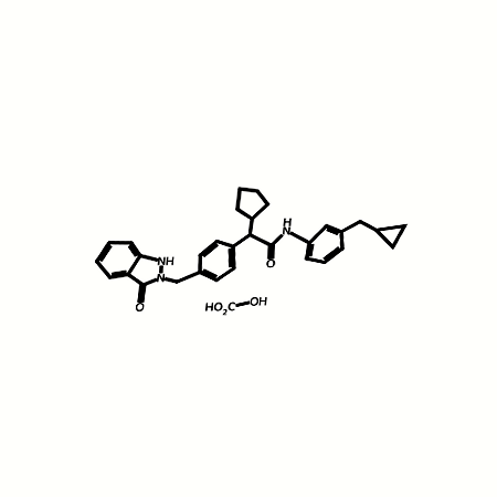 O=C(Nc1cccc(CC2CC2)c1)C(c1ccc(Cn2[nH]c3ccccc3c2=O)cc1)C1CCCC1.O=C(O)O